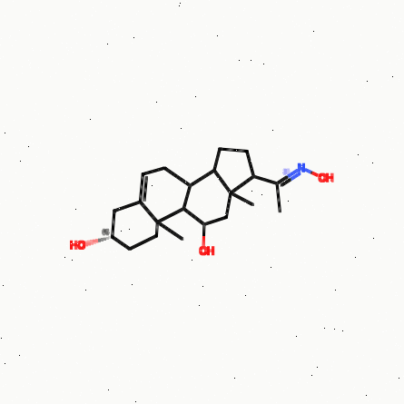 C/C(=N\O)C1CCC2C3CC=C4C[C@@H](O)CCC4(C)C3C(O)CC12C